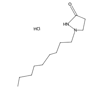 CCCCCCCCCN1CCC(=O)N1.Cl